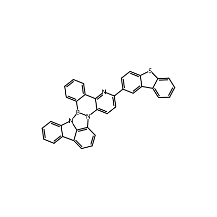 c1ccc2c(c1)B1N(c3ccc(-c4ccc5sc6ccccc6c5c4)nc3-2)c2cccc3c4ccccc4n1c23